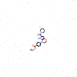 CC(C)(C)OC(=O)c1ccc(N2CCOc3cc(C(=O)N4CCCC(F)C4)[nH]c32)cc1